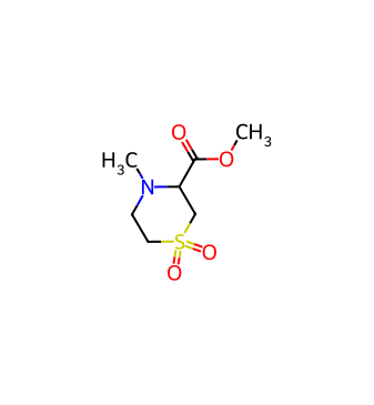 COC(=O)C1CS(=O)(=O)CCN1C